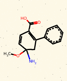 COC1(N)C=CC(C(=O)O)=C(c2ccccc2)C1